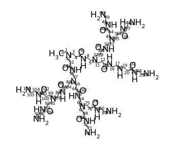 CCN(CCC(=O)NCCN(CCC(=O)NCCNCCC(=O)NCCN)CCC(=O)NCCN(CCC(=O)NCCN)CCC(=O)NCCN)CCC(=O)NCCN(CCC(=O)NCCN(CCC(=O)NCCN)CCC(=O)NCCN)CCC(=O)NCCN(CCC(=O)NCCN)CCC(=O)NCCN